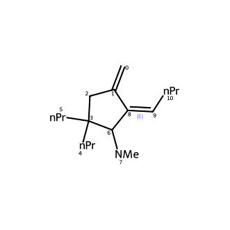 C=C1CC(CCC)(CCC)C(NC)/C1=C/CCC